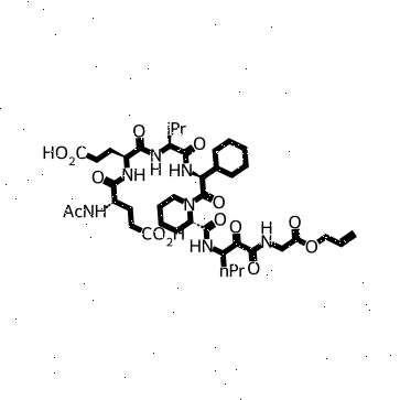 C=CCOC(=O)CNC(=O)C(=O)C(CCC)NC(=O)[C@@H]1CCCCN1C(=O)[C@@H](NC(=O)[C@@H](NC(=O)[C@H](CCC(=O)O)NC(=O)[C@H](CCC(=O)O)NC(C)=O)C(C)C)C1CCCCC1